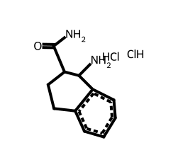 Cl.Cl.NC(=O)C1CCc2ccccc2C1N